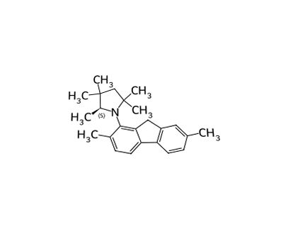 Cc1ccc2c(c1)Cc1c-2ccc(C)c1N1[C@@H](C)C(C)(C)CC1(C)C